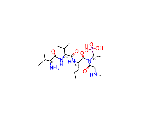 CCC[C@H](NC(=O)[C@@H](NC(=O)[C@@H](N)C(C)C)C(C)C)C(=O)N(C(=O)CNC)[C@@H](C)P(=O)(O)O